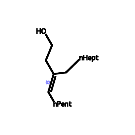 CCCCC/C=C(/CCO)CCCCCCCC